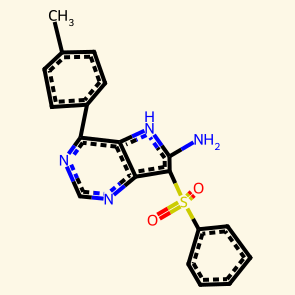 Cc1ccc(-c2ncnc3c(S(=O)(=O)c4ccccc4)c(N)[nH]c23)cc1